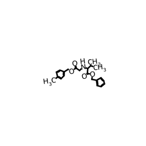 Cc1ccc(COC(=O)CNC(C(=O)OCc2ccccc2)C(C)C)cc1